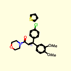 COc1ccc(/C(=C/C(=O)N2CCOCC2)c2ccc(Cl)cc2)cc1OC.c1ccsc1